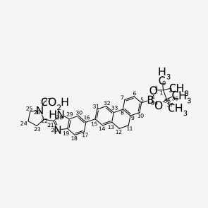 CC1(C)OB(c2ccc3c(c2)CCc2cc(-c4ccc5nc(C6CCCN6C(=O)O)[nH]c5c4)ccc2-3)OC1(C)C